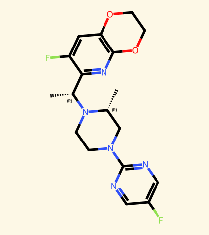 C[C@@H]1CN(c2ncc(F)cn2)CCN1[C@H](C)c1nc2c(cc1F)OCCO2